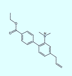 C=CCc1ccc(-c2ccc(C(=O)OCC)cc2)c([SiH](C)C)c1